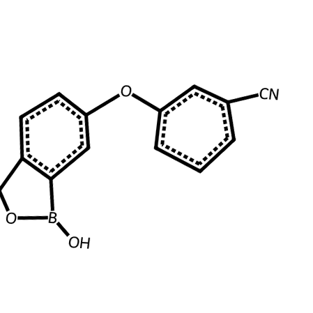 N#Cc1cccc(Oc2ccc3c(c2)B(O)OC3)c1